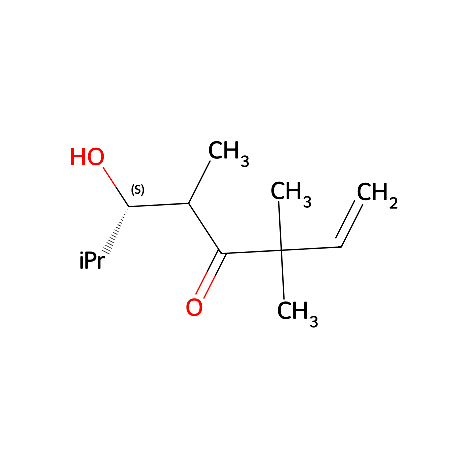 C=CC(C)(C)C(=O)C(C)[C@@H](O)C(C)C